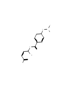 C=C(/C=C\C(N)NC(=O)C1=CCC(N[S+]([O-])C(C)C)C=C1)C(F)(F)F